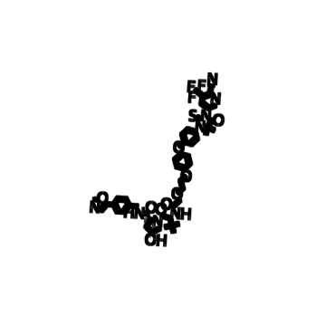 CC(C)(C)C(NC(=O)COCCOc1ccc(Oc2ccc(N3C(=S)N(c4cnc(C#N)c(C(F)(F)F)c4)C(=O)C3(C)C)cc2)cc1)C(=O)N1C[C@H](O)C[C@H]1C(=O)NCc1ccc(-c2cnco2)cc1